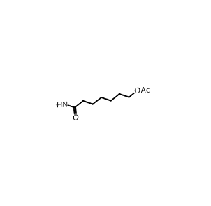 CC(=O)OCCCCCCC([NH])=O